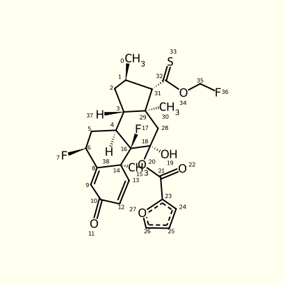 C[C@@H]1C[C@H]2[C@@H]3C[C@H](F)C4=CC(=O)C=C[C@]4(C)[C@@]3(F)[C@](O)(OC(=O)c3ccco3)C[C@]2(C)[C@H]1C(=S)OCF